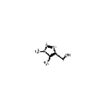 Cc1c(CO)nnn1C